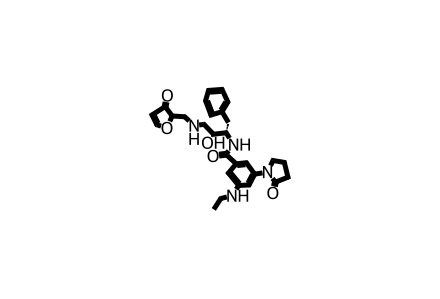 CCNc1cc(C(=O)N[C@@H](Cc2ccccc2)[C@H](O)CNCC2OC=CC2=O)cc(N2CCCC2=O)c1